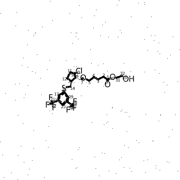 O=C(CCCCOC[C@H]1C(Cl)CC[C@@H]1CSc1cc(C(F)(F)F)cc(C(F)(F)F)c1)OCCO